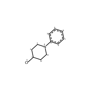 ClC1CCN(c2cc[c]cc2)CC1